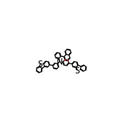 c1cc(-c2ccc3sc4ccccc4c3c2)cc(N(c2ccc(-c3ccc4c(c3)sc3ccccc34)cc2)c2ccccc2-c2cccc3ccccc23)c1